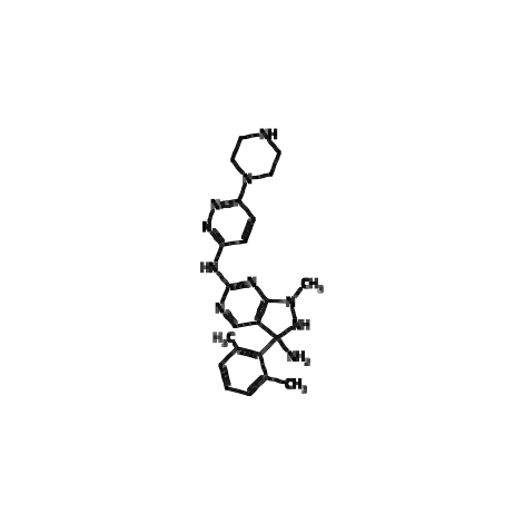 Cc1cccc(C)c1C1(N)NN(C)c2nc(Nc3ccc(N4CCNCC4)nn3)ncc21